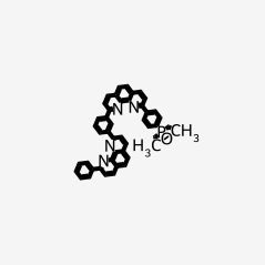 CCP(=O)(CC)c1ccc(-c2ccc3ccc4ccc(-c5cccc(-c6ccc7ccc8ccc(-c9ccccc9)nc8c7n6)c5)nc4c3n2)cc1